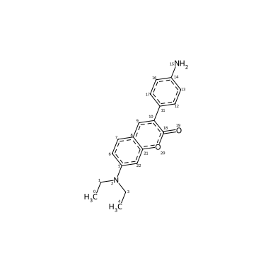 CCN(CC)c1ccc2cc(-c3ccc(N)cc3)c(=O)oc2c1